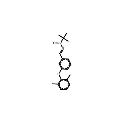 Cc1cccc(C)c1Oc1cccc(C=N[S+]([O-])C(C)(C)C)c1